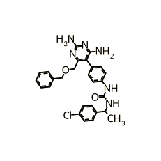 CC(NC(=O)Nc1ccc(-c2c(N)nc(N)nc2COCc2ccccc2)cc1)c1ccc(Cl)cc1